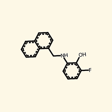 Oc1c(F)cccc1NCc1cccc2ccccc12